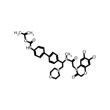 C=C(C)OC(=O)Nc1ccc(-c2ccc(C(CN3CCOCC3)N(C)C(=O)CN3C(=O)COc4cc(Cl)c(Cl)cc43)cc2)cc1